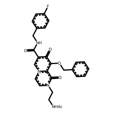 CC(=O)NCCn1ccn2cc(C(=O)NCc3ccc(F)cc3)c(=O)c(OCc3ccccc3)c2c1=O